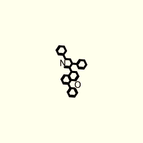 C1=CCCC(C2=NC=C(C3CC=C4Oc5ccccc5-c5cccc3c54)C(C3=CCCC=C3)C2)=C1